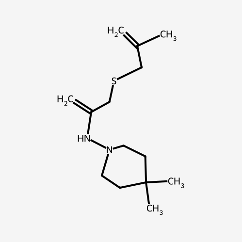 C=C(C)CSCC(=C)NN1CCC(C)(C)CC1